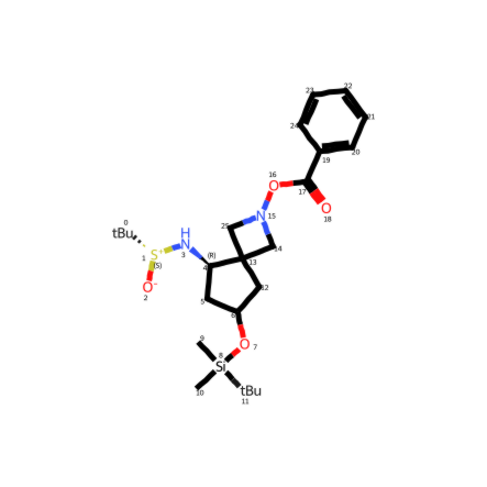 CC(C)(C)[S@@+]([O-])N[C@@H]1CC(O[Si](C)(C)C(C)(C)C)CC12CN(OC(=O)c1ccccc1)C2